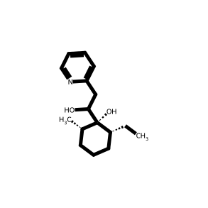 CC[C@@H]1CCC[C@H](C)[C@@]1(O)C(O)Cc1ccccn1